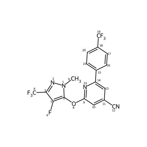 Cn1nc(C(F)(F)F)c(F)c1Oc1cc(C#N)cc(-c2ccc(C(F)(F)F)cc2)n1